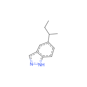 CCC(C)c1ccc2[nH]ncc2c1